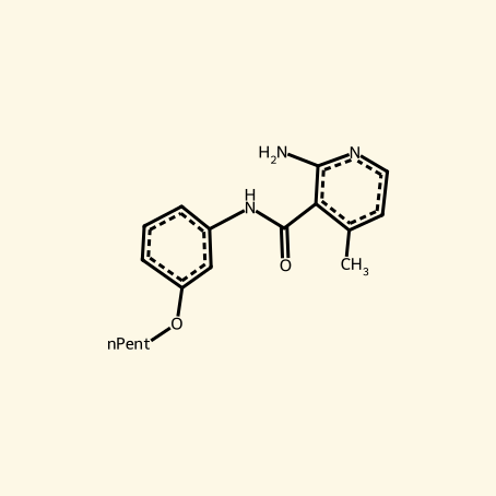 CCCCCOc1cccc(NC(=O)c2c(C)ccnc2N)c1